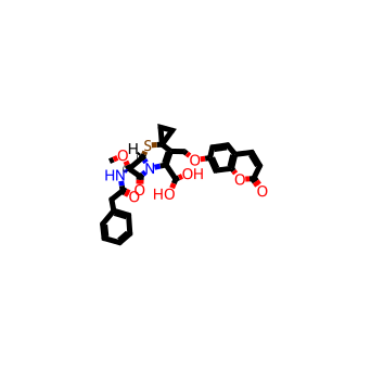 CO[C@@]1(NC(=O)Cc2ccccc2)C(=O)N2C(C(O)O)=C(COc3ccc4ccc(=O)oc4c3)C3(CC3)S[C@@H]21